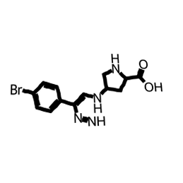 N=N/C(=C\NC1CNC(C(=O)O)C1)c1ccc(Br)cc1